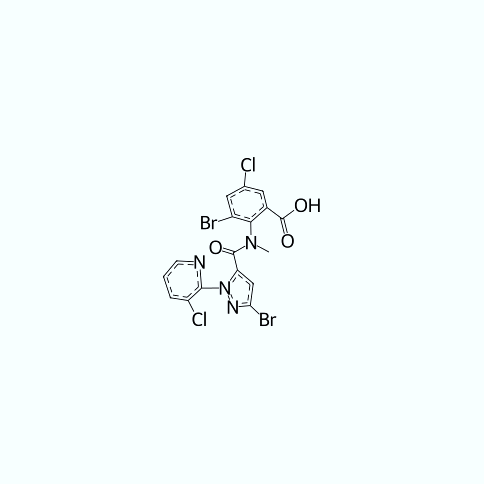 CN(C(=O)c1cc(Br)nn1-c1ncccc1Cl)c1c(Br)cc(Cl)cc1C(=O)O